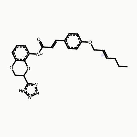 CCC/C=C/COc1ccc(C=CC(=O)Nc2cccc3c2OC(c2nnn[nH]2)CO3)cc1